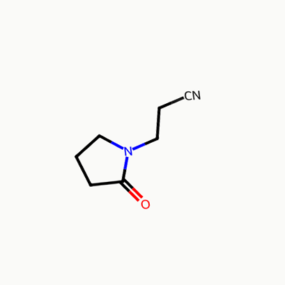 N#CCCN1CCCC1=O